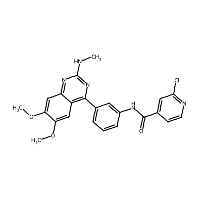 CNc1nc(-c2cccc(NC(=O)c3ccnc(Cl)c3)c2)c2cc(OC)c(OC)cc2n1